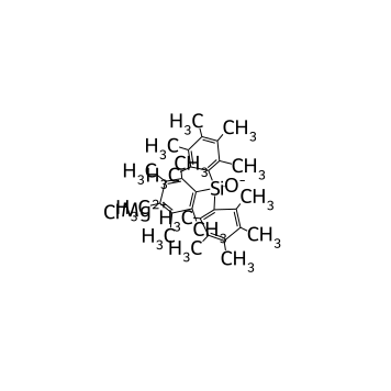 Cc1c(C)c(C)c([Si]([O-])(c2c(C)c(C)c(C)c(C)c2C)c2c(C)c(C)c(C)c(C)c2C)c(C)c1C.[Cl-].[Mg+2]